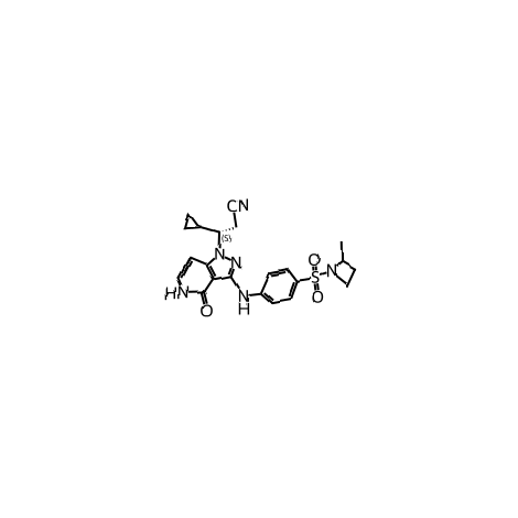 CC1CCN1S(=O)(=O)c1ccc(Nc2nn([C@@H](CC#N)C3CC3)c3cc[nH]c(=O)c23)cc1